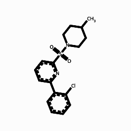 CC1CCN(S(=O)(=O)c2cccc(-c3ccccc3Cl)n2)CC1